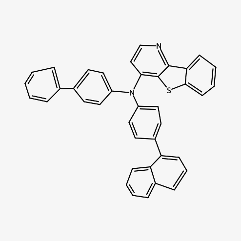 c1ccc(-c2ccc(N(c3ccc(-c4cccc5ccccc45)cc3)c3ccnc4c3sc3ccccc34)cc2)cc1